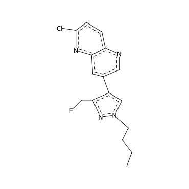 CCCCn1cc(-c2cnc3ccc(Cl)nc3c2)c(CF)n1